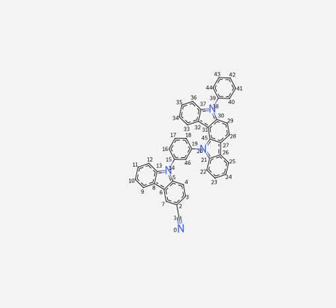 N#Cc1ccc2c(c1)c1ccccc1n2-c1cccc(-n2c3ccccc3c3ccc4c(c5ccccc5n4-c4ccccc4)c32)c1